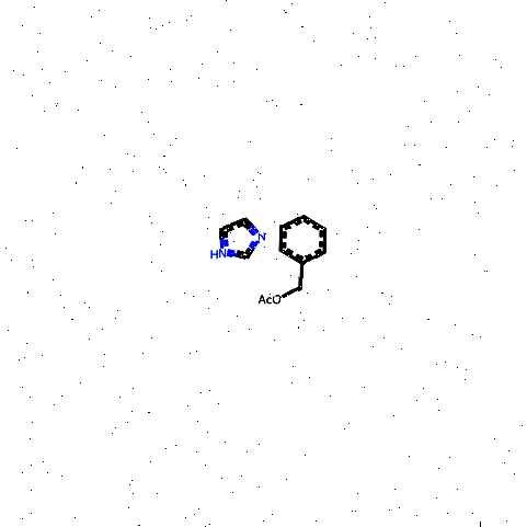 CC(=O)OCc1ccccc1.c1c[nH]cn1